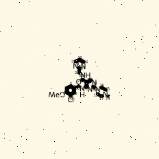 COc1ccc(CNc2nc(N3CCN(C)CC3)ncc2C(=O)NCc2ncccn2)cc1Cl